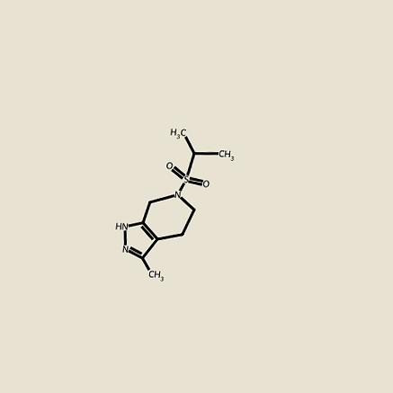 Cc1n[nH]c2c1CCN(S(=O)(=O)C(C)C)C2